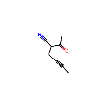 CC#CCC(C#N)C(C)=O